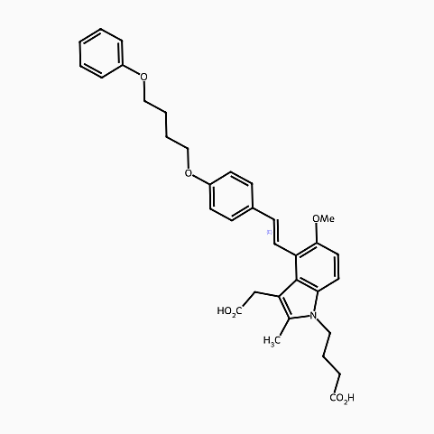 COc1ccc2c(c1/C=C/c1ccc(OCCCCOc3ccccc3)cc1)c(CC(=O)O)c(C)n2CCCC(=O)O